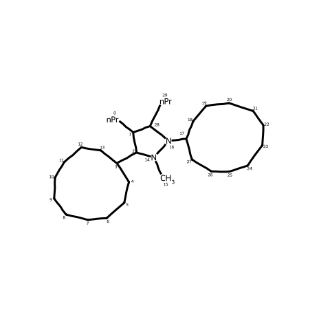 CCCC1C(C2CCCCCCCCCC2)N(C)N(C2CCCCCCCCCC2)C1CCC